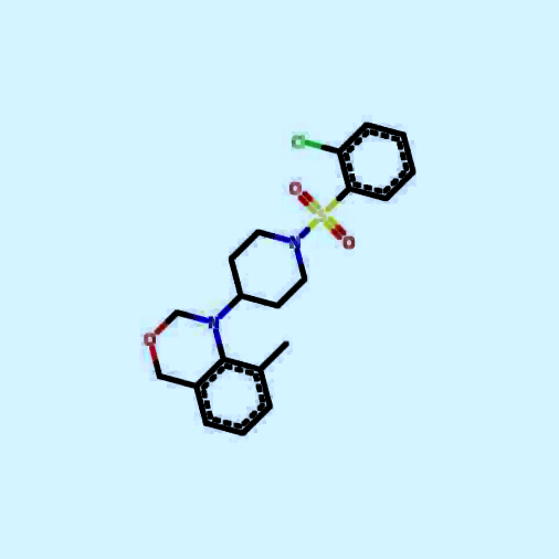 Cc1cccc2c1N(C1CCN(S(=O)(=O)c3ccccc3Cl)CC1)COC2